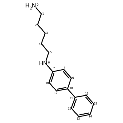 NCCCCCNc1ccc(-c2ccccc2)cc1